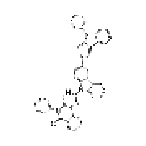 O=c1c2ccccc2c2nc(-n3c4ccccc4c4cc(-c5ccc6c(c5)c5ccccc5n6-c5ccccc5)ccc43)ncc2n1-c1ccccc1